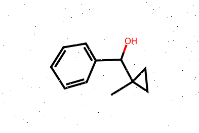 CC1(C(O)c2ccccc2)CC1